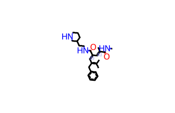 CNC(=O)/C(C)=C/C(=C\C(Cc1ccccc1)=C(C)C)C(=O)NCCC1CCCNC1